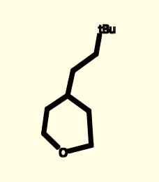 CC(C)(C)CCC1CCOCC1